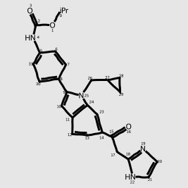 CC(C)OC(=O)Nc1ccc(-c2cc3ccc(C(=O)Cc4ncc[nH]4)cc3n2CC2CC2)cc1